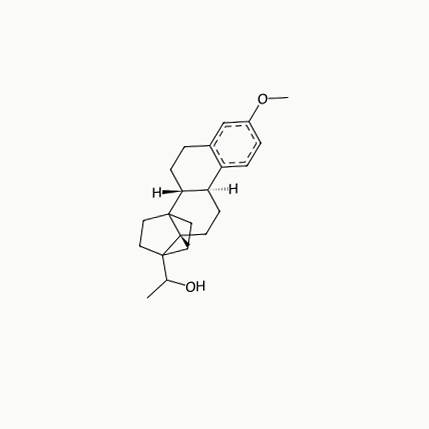 COc1ccc2c(c1)CC[C@@H]1[C@@H]2CC[C@]2(C)C3(C(C)O)CCC12CC3